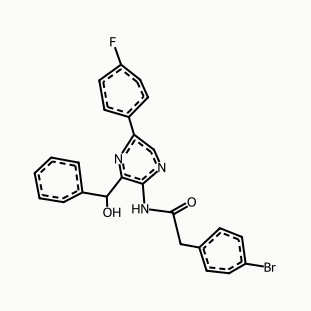 O=C(Cc1ccc(Br)cc1)Nc1ncc(-c2ccc(F)cc2)nc1C(O)c1ccccc1